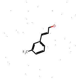 [O]CC=Cc1cccc(C(F)(F)F)c1